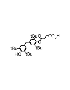 CC(C)(C)c1cc(Cc2cc(C(C)(C)C)c(OC(=O)CCC(=O)O)c(C(C)(C)C)c2)cc(C(C)(C)C)c1O